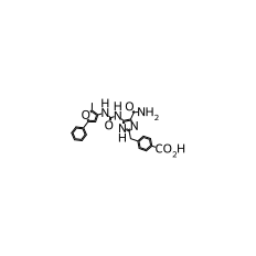 Cc1oc(-c2ccccc2)cc1NC(=O)Nc1[nH]c(Cc2ccc(C(=O)O)cc2)nc1C(N)=O